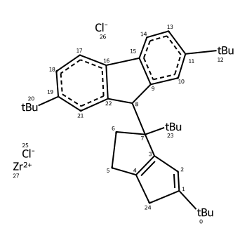 CC(C)(C)C1=CC2=C(CCC2(C2c3cc(C(C)(C)C)ccc3-c3ccc(C(C)(C)C)cc32)C(C)(C)C)C1.[Cl-].[Cl-].[Zr+2]